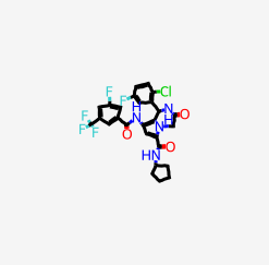 O=C1Cn2c(C(=O)NC3CCCC3)cc(NC(=O)c3cc(F)cc(C(F)(F)F)c3)c2C(c2cc(F)ccc2Cl)N1